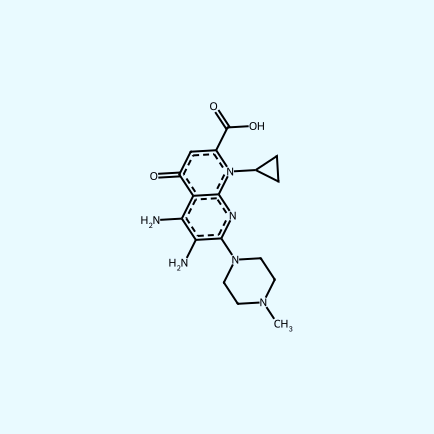 CN1CCN(c2nc3c(c(N)c2N)c(=O)cc(C(=O)O)n3C2CC2)CC1